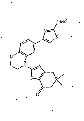 COc1nc(-c2ccc3c(c2)N(c2nc4c(s2)C(=O)CC(C)(C)C4)CCO3)cs1